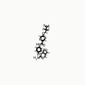 NC1=N[C@@]2(c3cc(NC(=O)c4cnc(OCC(F)(F)C(F)F)cn4)ccc3F)COCC2CO1